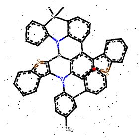 CC(C)(C)c1ccc(N2c3cc4sc5ccccc5c4c4c3B(c3sc5ccccc5c32)N2c3ccccc3[Si](C)(C)c3cccc-4c32)c(-c2ccccc2)c1